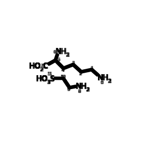 NCCCCC(N)C(=O)O.NCCS(=O)(=O)O